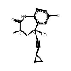 C[C@@H]1O[C@](C#CC2CC2)(C(F)(F)F)c2cc(Cl)ccc2NC1=O